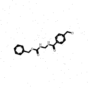 O=C(NCNC(=O)c1ccc(CCl)cc1)OCc1ccccc1